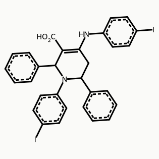 O=C(O)C1=C(Nc2ccc(I)cc2)CC(c2ccccc2)N(c2ccc(I)cc2)C1c1ccccc1